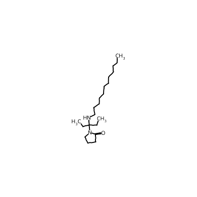 CCCCCCCCCCCCNC(CC)(CC)N1CCCC1=O